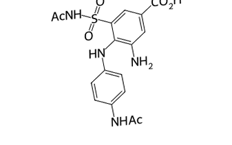 CC(=O)Nc1ccc(Nc2c(N)cc(C(=O)O)cc2S(=O)(=O)NC(C)=O)cc1